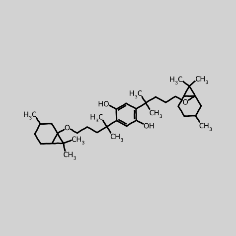 CC1CCC2C(C)(C)C2(OCCCC(C)(C)c2cc(O)c(C(C)(C)CCCOC34CC(C)CCC3C4(C)C)cc2O)C1